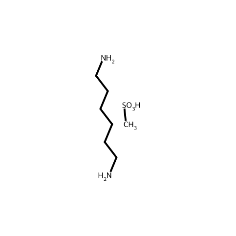 CS(=O)(=O)O.NCCCCCCN